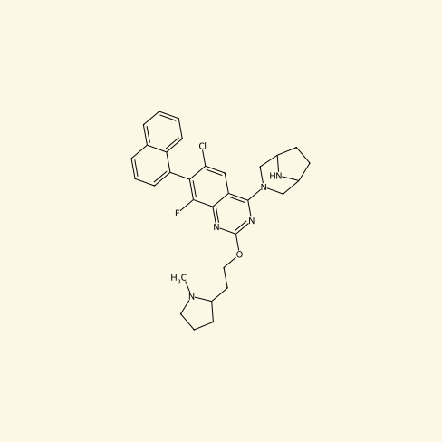 CN1CCCC1CCOc1nc(N2CC3CCC(C2)N3)c2cc(Cl)c(-c3cccc4ccccc34)c(F)c2n1